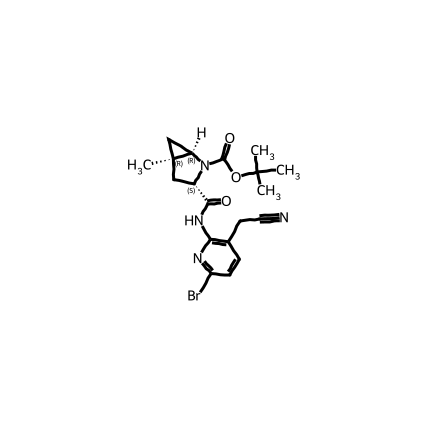 CC(C)(C)OC(=O)N1[C@H](C(=O)Nc2nc(Br)ccc2CC#N)C[C@@]2(C)C[C@@H]12